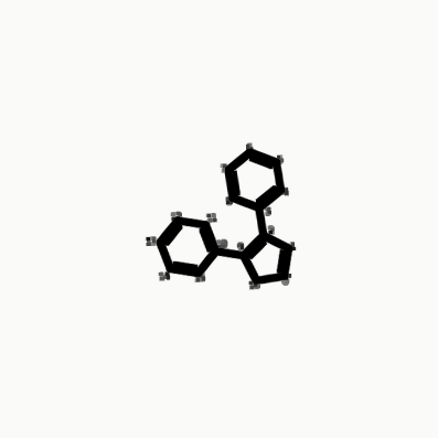 [C]1=CC(c2ccccc2)=C(c2ccccc2)C1